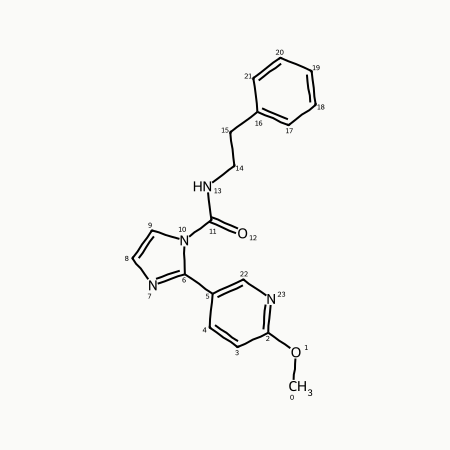 COc1ccc(-c2nccn2C(=O)NCCc2ccccc2)cn1